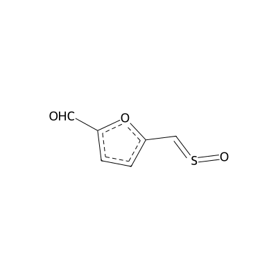 O=Cc1ccc(C=S=O)o1